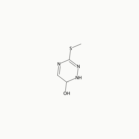 CSC1=NN[C](O)C=N1